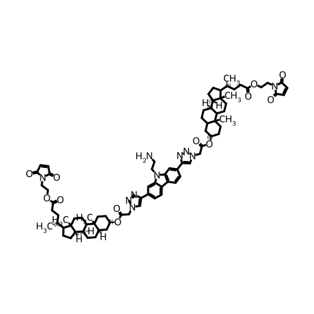 C[C@H](CCC(=O)OCCN1C(=O)C=CC1=O)C1CC[C@H]2[C@@H]3CCC4C[C@H](OC(=O)Cn5cc(-c6ccc7c8ccc(-c9cn(CC(=O)O[C@@H]%10CCC%11(C)C%12CCC%13(C)C([C@H](C)CCC(=O)OCCN%14C(=O)C=CC%14=O)CC[C@H]%13[C@@H]%12CC[C@@H]%11C%10)nn9)cc8n(CCN)c7c6)nn5)CCC4(C)C3CCC12C